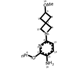 [CH2]CCOc1nc(N2CC3(CC(OC)C3)C2)ccc1N